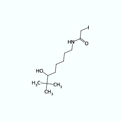 CC(C)(C)C(O)CCCCCNC(=O)CI